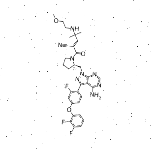 COCCNC(C)(C)C=C(C#N)C(=O)N1CCC[C@@H]1Cn1nc(-c2ccc(Oc3cccc(F)c3F)cc2F)c2c(N)ncnc21